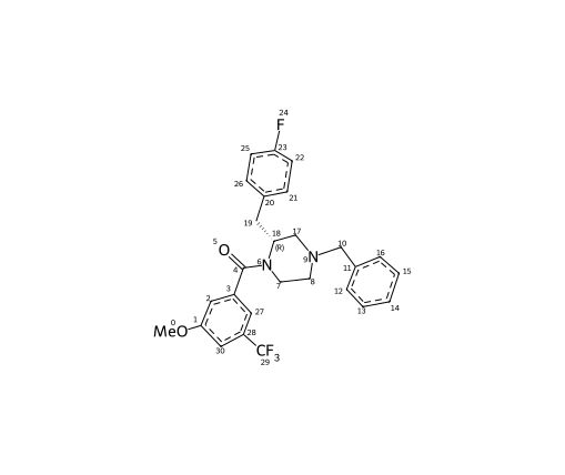 COc1cc(C(=O)N2CCN(Cc3ccccc3)C[C@H]2Cc2ccc(F)cc2)cc(C(F)(F)F)c1